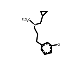 CCOC(=O)N(CCCc1cccc(Cl)c1)CC1CC1